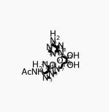 CC(=O)Nc1ncn(CNCC2OC(n3cnc4c(N)ncnc43)C(O)C2O)c1C(N)=O